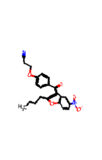 CCCCc1oc2ccc([N+](=O)[O-])cc2c1C(=O)c1ccc(OCCC#N)cc1